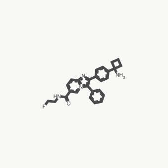 NC1(c2ccc(-c3nc4ccc(C(=O)NCCF)cn4c3-c3ccccc3)cc2)CCC1